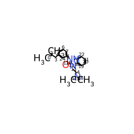 CC(C)Cc1cccc(NC(=O)N(CCN(C)C)c2ccccc2)c1